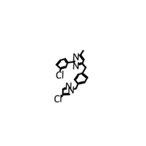 Cc1cc(Cc2ccc(Cn3cc(Cl)cn3)cc2)nc(-c2cccc(Cl)c2)n1